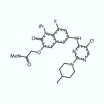 CNC(=O)COc1cc2cc(Nc3nc(N4CCC(I)CC4)ncc3Cl)cc(F)c2n(C(C)C)c1=O